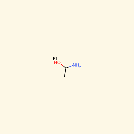 CC(N)O.[Pt]